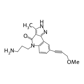 COCC#Cc1ccc2c(c1)c1n[nH]c(C)c1c(=O)n2CCCN